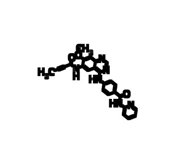 CC#CC(=O)Nc1cc2c(Nc3ccc(C(=O)Nc4ccccn4)cc3)ncnc2cc1OC